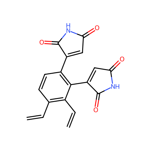 C=Cc1ccc(C2=CC(=O)NC2=O)c(C2=CC(=O)NC2=O)c1C=C